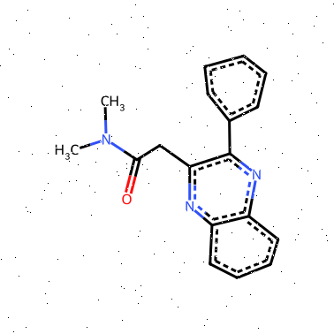 CN(C)C(=O)Cc1nc2ccccc2nc1-c1ccccc1